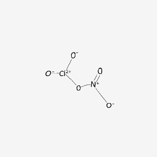 O=[N+]([O-])O[Cl+2]([O-])[O-]